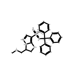 COCC1COc2c(S(N)(=O)=NC(c3ccccc3)(c3ccccc3)c3ccccc3)cnn21